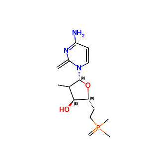 C=C1N=C(N)C=CN1[C@@H]1O[C@H](CCP(=C)(C)C)[C@@H](O)C1C